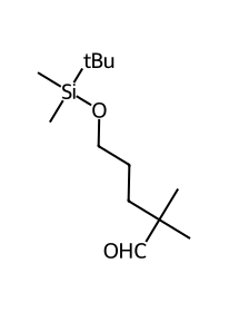 CC(C)(C=O)CCCO[Si](C)(C)C(C)(C)C